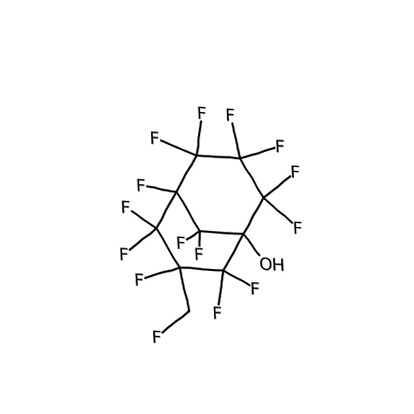 OC12C(F)(F)C(F)(F)C(F)(F)C(F)(C(F)(F)C(F)(CF)C1(F)F)C2(F)F